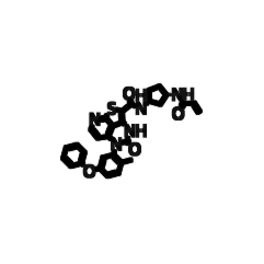 C=CC(=O)N[C@H]1CC[C@H](NC(=O)c2sc3nccc4c3c2NC(=O)N4c2cc(Oc3ccccc3)ccc2C)C1